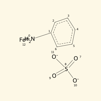 Nc1ccccc1.O=S(=O)([O-])[O-].[Fe+2]